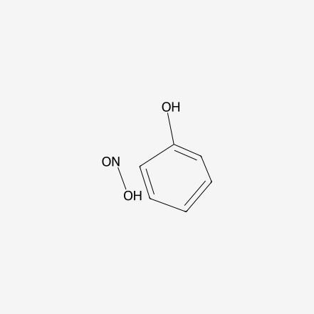 O=NO.Oc1ccccc1